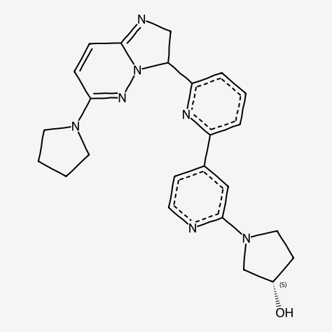 O[C@H]1CCN(c2cc(-c3cccc(C4CN=C5C=CC(N6CCCC6)=NN54)n3)ccn2)C1